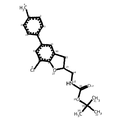 Cc1ccc(-c2cc(Cl)c3c(c2)CC(CNC(=O)OC(C)(C)C)O3)cc1